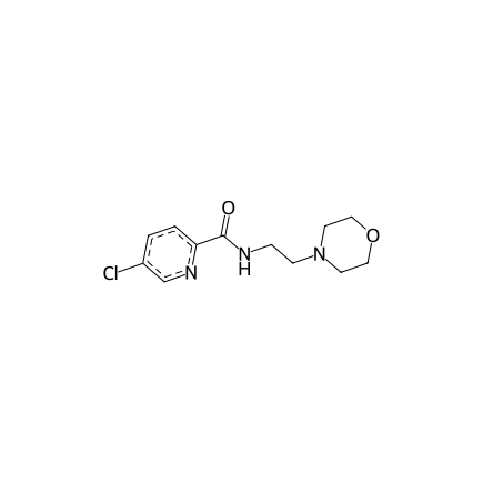 O=C(NCCN1CCOCC1)c1ccc(Cl)cn1